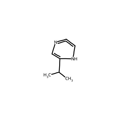 CC(C)C1=CN=C=CN1